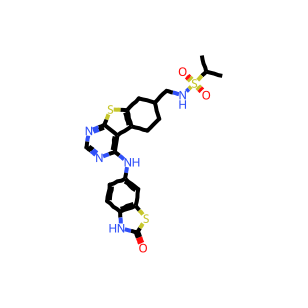 CC(C)S(=O)(=O)NCC1CCc2c(sc3ncnc(Nc4ccc5[nH]c(=O)sc5c4)c23)C1